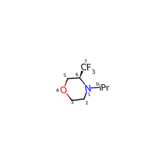 CC(C)N1CCOC[C@H]1C(F)(F)F